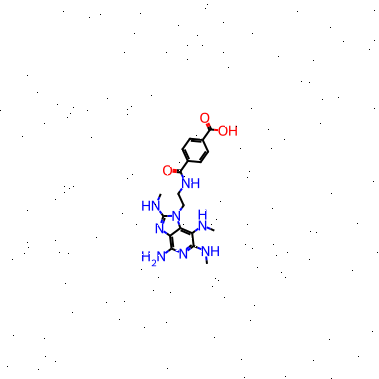 CNc1nc(N)c2nc(NC)n(CCNC(=O)c3ccc(C(=O)O)cc3)c2c1NC